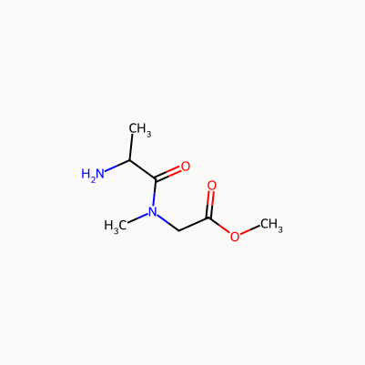 COC(=O)CN(C)C(=O)C(C)N